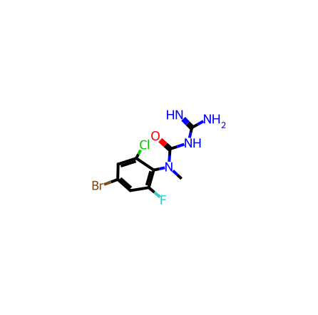 CN(C(=O)NC(=N)N)c1c(F)cc(Br)cc1Cl